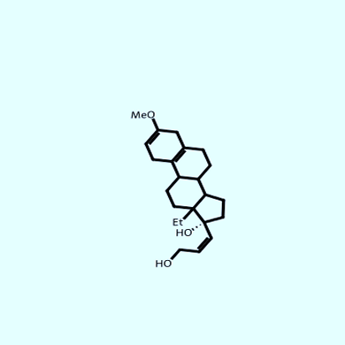 CCC12CCC3C4=C(CCC3C1CC[C@@]2(O)/C=C\CO)CC(OC)=CC4